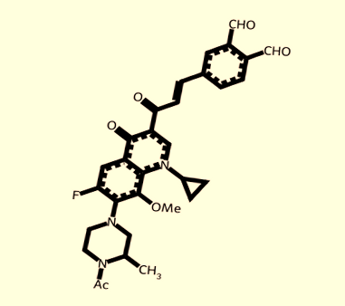 COc1c(N2CCN(C(C)=O)C(C)C2)c(F)cc2c(=O)c(C(=O)C=Cc3ccc(C=O)c(C=O)c3)cn(C3CC3)c12